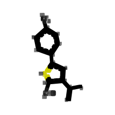 C=C(C)c1cc(-c2ccc(C(F)(F)F)cc2)sc1C=O